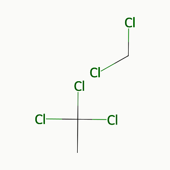 CC(Cl)(Cl)Cl.ClCCl